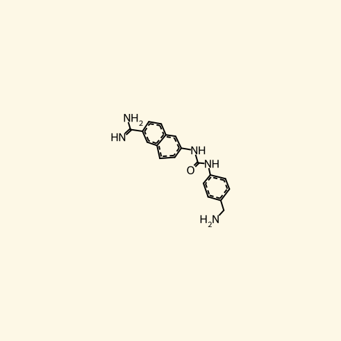 N=C(N)c1ccc2cc(NC(=O)Nc3ccc(CN)cc3)ccc2c1